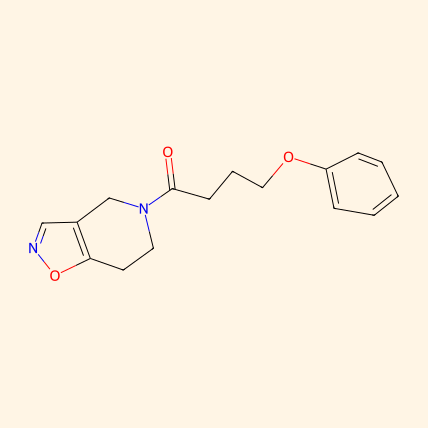 O=C(CCCOc1ccccc1)N1CCc2oncc2C1